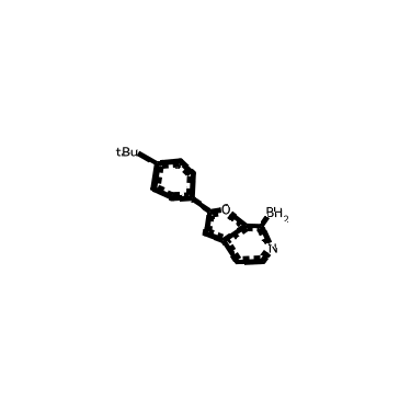 Bc1nccc2cc(-c3ccc(C(C)(C)C)cc3)oc12